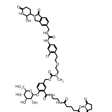 CN(CCOCCc1ccc(NC(=O)NCc2ccc3c(c2)CN(C2CCC(=O)NC2O)C3=O)cc1Cl)C(=O)OCc1ccc(O[C@@H]2O[C@H](C(=O)O)[C@@H](O)[C@H](O)[C@H]2O)c(C(=O)NCCNC(=O)CCCC(=O)ON2C(=O)CCC2=O)c1